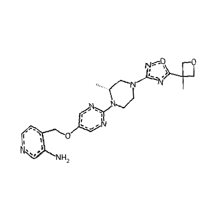 C[C@@H]1CN(c2noc(C3(C)COC3)n2)CCN1c1ncc(OCc2ccncc2N)cn1